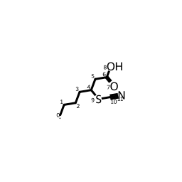 [CH2]CCCC(CC(=O)O)SC#N